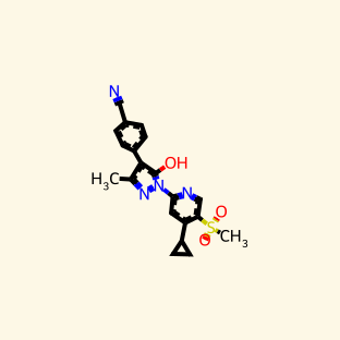 Cc1nn(-c2cc(C3CC3)c(S(C)(=O)=O)cn2)c(O)c1-c1ccc(C#N)cc1